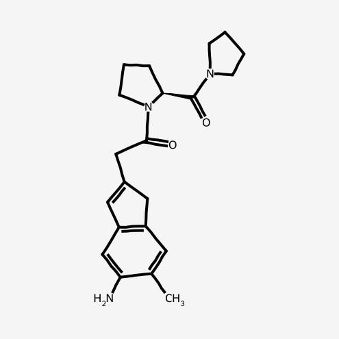 Cc1cc2c(cc1N)C=C(CC(=O)N1CCC[C@H]1C(=O)N1CCCC1)C2